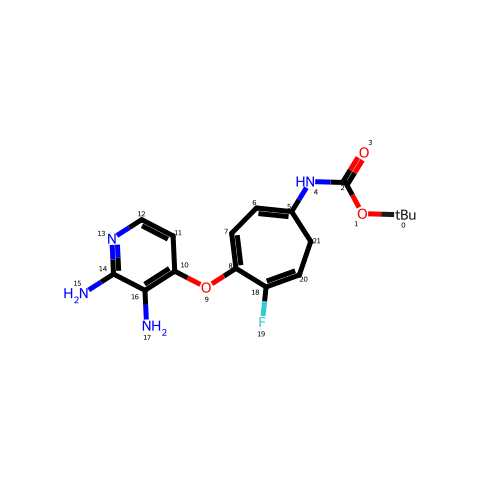 CC(C)(C)OC(=O)NC1=CC=C(Oc2ccnc(N)c2N)C(F)=CC1